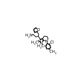 Cc1cc(C)c(N2CCCc3c2nn(C)c3C(CCN)Cc2ccco2)c(Cl)c1